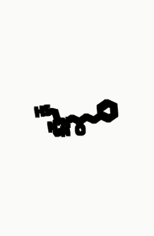 O=C(CCc1ccccc1)Cn1ncnc1CS